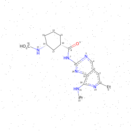 CCc1cc2cnc(NC(=O)[C@H]3CCC[C@@H](NC(=O)O)C3)nc2c(NC(C)C)n1